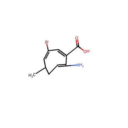 CC1\C=C(Br)/C=C(C(=O)O)\C(N)=C\C1